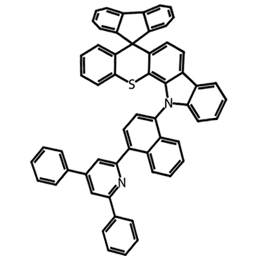 c1ccc(-c2cc(-c3ccccc3)nc(-c3ccc(-n4c5ccccc5c5ccc6c(c54)Sc4ccccc4C64c5ccccc5-c5ccccc54)c4ccccc34)c2)cc1